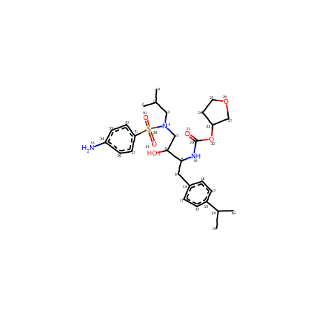 CC(C)CN(CC(O)C(Cc1ccc(C(C)C)cc1)NC(=O)OC1CCOC1)S(=O)(=O)c1ccc(N)cc1